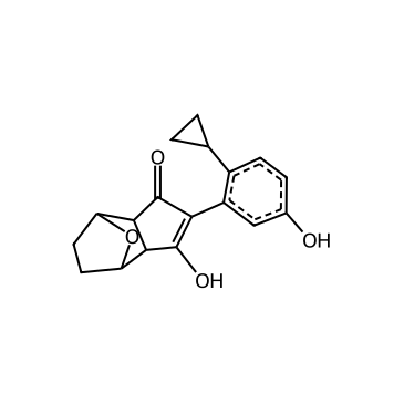 O=C1C(c2cc(O)ccc2C2CC2)=C(O)C2C3CCC(O3)C12